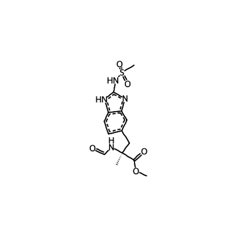 COC(=O)[C@](C)(Cc1ccc2[nH]c(NS(C)(=O)=O)nc2c1)NC=O